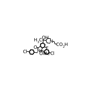 CO[C@]1(c2ccc(Cl)cc2)c2c(F)cc(C(C)(O)C3CCN(CCC(=O)O)CC3)cc2C(=O)N1Cc1ccc(Cl)cc1